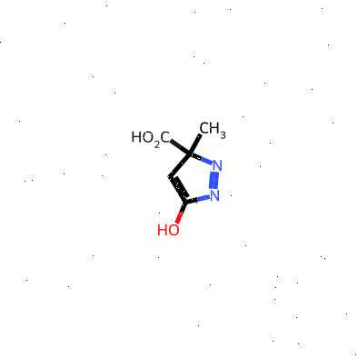 CC1(C(=O)O)C=C(O)N=N1